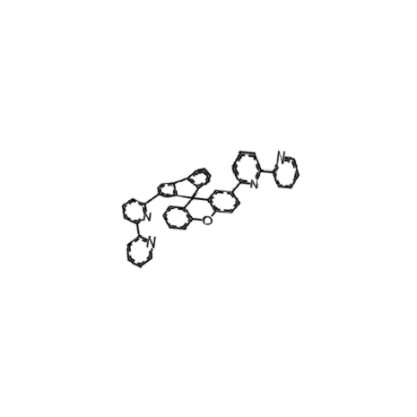 c1ccc(-c2cccc(-c3ccc4c(c3)C3(c5ccccc5O4)c4ccccc4-c4ccc(-c5cccc(-c6ccccn6)n5)cc43)n2)nc1